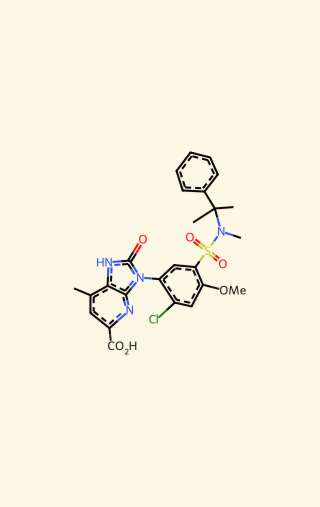 COc1cc(Cl)c(-n2c(=O)[nH]c3c(C)cc(C(=O)O)nc32)cc1S(=O)(=O)N(C)C(C)(C)c1ccccc1